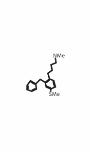 CNCCCCc1ccc(SC)cc1Cc1ccccc1